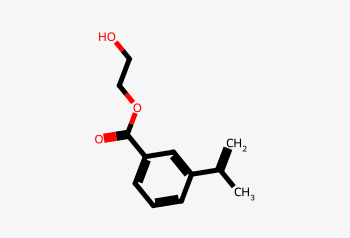 C=C(C)c1cccc(C(=O)OCCO)c1